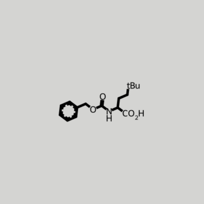 CC(C)(C)CCC(NC(=O)OCc1ccccc1)C(=O)O